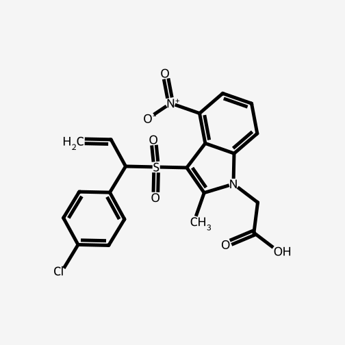 C=CC(c1ccc(Cl)cc1)S(=O)(=O)c1c(C)n(CC(=O)O)c2cccc([N+](=O)[O-])c12